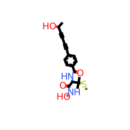 CSC(C)(C)C(NC(=O)c1ccc(C#CC#CC(C)O)cc1)C(=O)NO